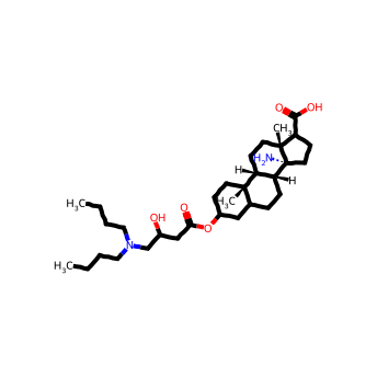 CCCCN(CCCC)CC(O)CC(=O)OC1CC[C@@]2(C)C(CC[C@@H]3[C@H]2CC[C@]2(C)C(C(=O)O)CC[C@@]32N)C1